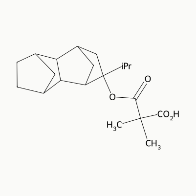 CC(C)C1(OC(=O)C(C)(C)C(=O)O)CC2CC1C1C3CCC(C3)C21